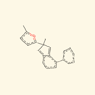 Cc1ccc(C2(C)[C]=c3cccc(-c4ccccc4)c3=C2)o1